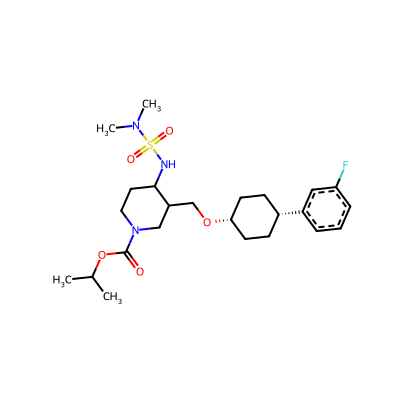 CC(C)OC(=O)N1CCC(NS(=O)(=O)N(C)C)C(CO[C@H]2CC[C@@H](c3cccc(F)c3)CC2)C1